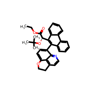 CCOC(=O)[C@@H](OC(C)(C)C)c1c(-c2ccc3c4c(ccnc24)CCO3)c2ccccc2c2ccccc12